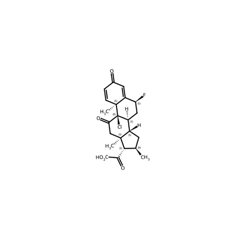 C[C@@H]1C[C@H]2[C@@H]3C[C@H](F)C4=CC(=O)C=C[C@]4(C)[C@@]3(Cl)C(=O)C[C@]2(C)[C@H]1C(=O)C(=O)O